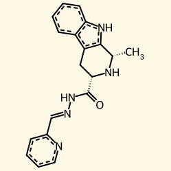 C[C@@H]1N[C@H](C(=O)N/N=C/c2ccccn2)Cc2c1[nH]c1ccccc21